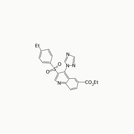 CCOC(=O)c1ccc2ncc(S(=O)(=O)c3ccc(CC)cc3)c(-n3cncn3)c2c1